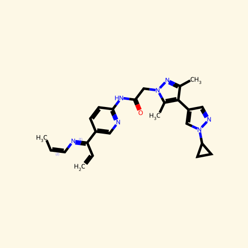 C=C/C(=N\C=C/C)c1ccc(NC(=O)Cn2nc(C)c(-c3cnn(C4CC4)c3)c2C)nc1